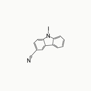 N#Cc1ccc2c(c1)c1ccccc1n2I